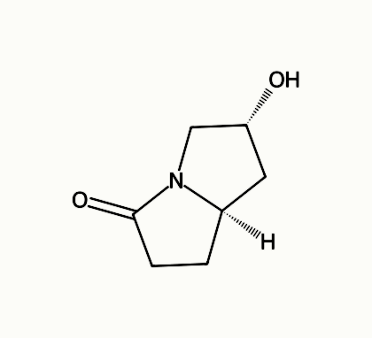 O=C1CC[C@@H]2C[C@@H](O)CN12